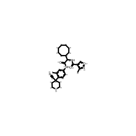 Cc1cc(NC(=O)C(NC(=O)c2conc2C)C2CCCCCCC2)ccc1C1(C#N)CCOCC1